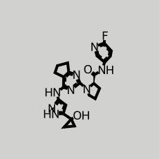 O=C(Nc1ccc(F)nc1)[C@H]1CCCN1c1nc2c(c(Nc3cc(C4(O)CC4)[nH]n3)n1)CCC2